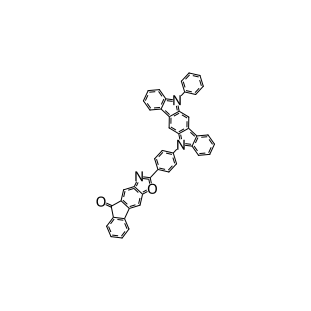 O=C1c2ccccc2-c2cc3oc(-c4ccc(-n5c6ccccc6c6cc7c(cc65)c5ccccc5n7-c5ccccc5)cc4)nc3cc21